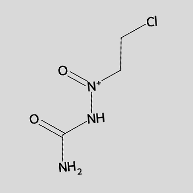 NC(=O)N[N+](=O)CCCl